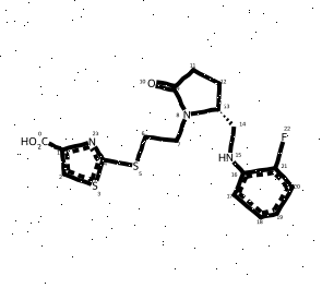 O=C(O)c1csc(SCCN2C(=O)CC[C@@H]2CNc2ccccc2F)n1